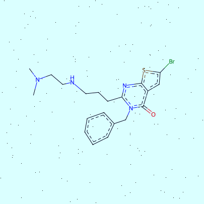 CN(C)CCNCCCc1nc2sc(Br)cc2c(=O)n1Cc1ccccc1